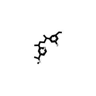 CCc1cc(F)cc(C(C)CCC(C)c2cc(C(C)SC)ccn2)c1